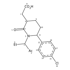 CCC(C(C)=O)N1C(=O)C(CC(=O)O)CCC1c1ccc(Cl)cc1